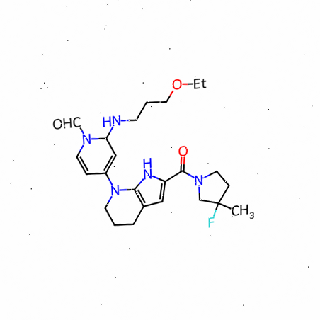 CCOCCCNC1C=C(N2CCCc3cc(C(=O)N4CCC(C)(F)C4)[nH]c32)C=CN1C=O